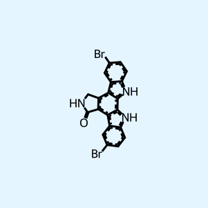 O=C1NCc2c1c1c3cc(Br)ccc3[nH]c1c1[nH]c3ccc(Br)cc3c21